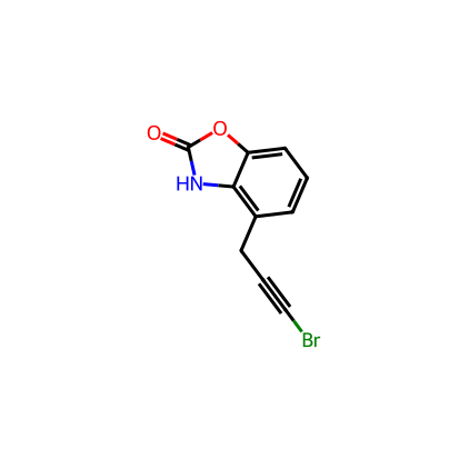 O=c1[nH]c2c(CC#CBr)cccc2o1